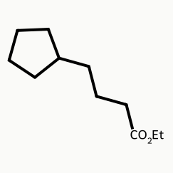 [CH2]COC(=O)CCCC1CCCC1